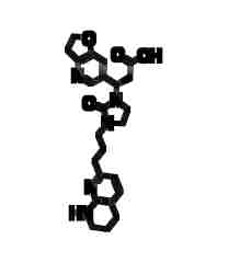 O=C(O)C[C@H](c1cnc2c(c1)OCC2)N1CCN(CCCc2ccc3c(n2)NCCC3)C1=O